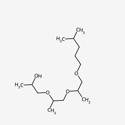 CC(C)CCCOCC(C)OCC(C)OCC(C)O